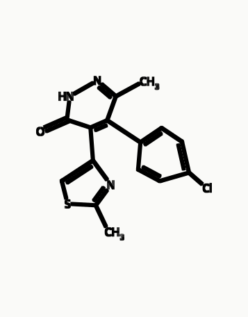 Cc1nc(-c2c(-c3ccc(Cl)cc3)c(C)n[nH]c2=O)cs1